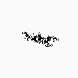 CO/N=C(\C(=O)NC1C(=O)N2C(C(=O)O)=C(COC(=O)NC(=O)CCl)CS[C@H]12)c1csc(NC(=O)CCl)n1